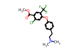 COC(=O)c1cc(C(F)(F)F)c(Oc2ccc(CCN(C)C)cc2)cc1Cl